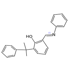 CC(C)(c1ccccc1)c1cccc(/C=N/c2ccccc2)c1O